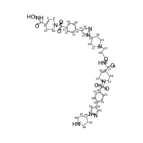 O=C(NO)C1=CCN(S(=O)(=O)c2ccc(-c3cnn(C4CCN(CCONC(=O)C5=CCN(S(=O)(=O)c6ccc(-c7cnn(C8CCNCC8)c7)cc6)CC5)CC4)c3)cc2)CC1